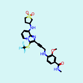 CNC(=O)c1ccc(NCC#Cc2nc3c(NC4CCS(=O)(=O)C4)cccn3c2SC(F)(F)F)c(OC)c1